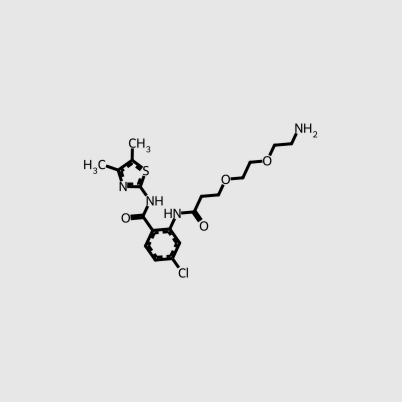 Cc1nc(NC(=O)c2ccc(Cl)cc2NC(=O)CCOCCOCCN)sc1C